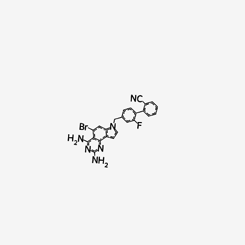 N#Cc1ccccc1-c1ccc(Cn2ccc3c4nc(N)nc(N)c4c(Br)cc32)cc1F